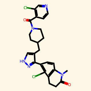 CN1C(=O)CCc2c1ccc(-c1n[nH]cc1CC1CCN(C(=O)c3ccncc3Cl)CC1)c2Cl